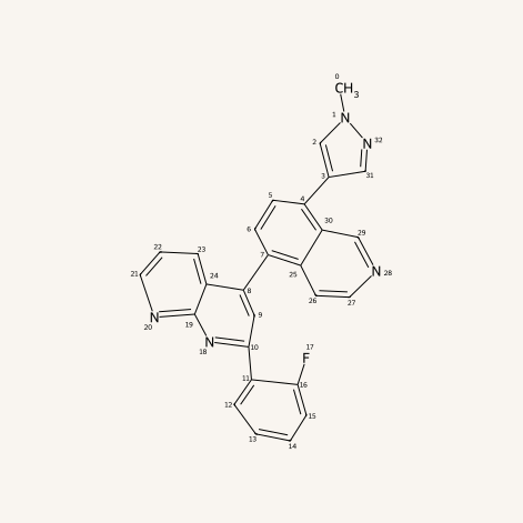 Cn1cc(-c2ccc(-c3cc(-c4ccccc4F)nc4ncccc34)c3ccncc23)cn1